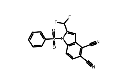 N#Cc1ccc2c(cc(C(F)F)n2S(=O)(=O)c2ccccc2)c1C#N